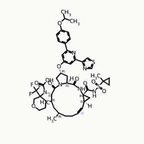 CC(C)Oc1ccc(-c2cc(O[C@@H]3C[C@H]4C(=O)N[C@]5(C(=O)NS(=O)(=O)C6(C)CC6)C[C@H]5/C=C\CC[C@@H](C)C[C@@H](C)[C@H](N(C(=O)O)C5(C(F)(F)F)CCCOC5)C(=O)N4C3)cc(-c3cscn3)n2)cc1